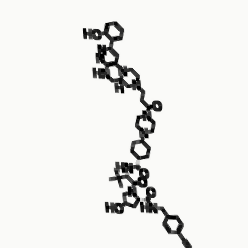 C#Cc1ccc(CNC(=O)[C@@H]2C[C@@H](O)CN2C(=O)[C@@H](NC(=O)[C@H]2CC[C@H](N3CCN(C(=O)CCN4CCN5c6cc(-c7ccccc7O)nnc6NC[C@H]5C4)CC3)CC2)C(C)(C)C)cc1